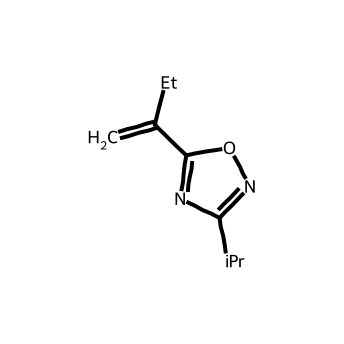 C=C(CC)c1nc(C(C)C)no1